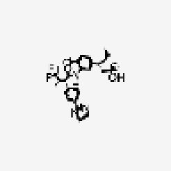 C[C@H]([C@H](C(=O)Nc1cc([C@@H](CC(=O)O)C2CC2)ccc1Cl)c1ccc(-n2nccn2)cc1)C(F)(F)F